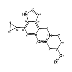 CCOC1CCN(Cc2c(OC)cc(C3CC3)c3[nH]ccc23)CC1